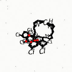 Clc1cc(Cl)c(-c2c(-c3c(Cl)cc(Cl)cc3Cl)c3c(-c4c(Cl)cc(Cl)cc4Cl)c4nc(cc5ccc(cc6nc(cc2n3-c2c(Cl)cc(Cl)cc2Cl)C=C6)[nH]5)C=C4)c(Cl)c1